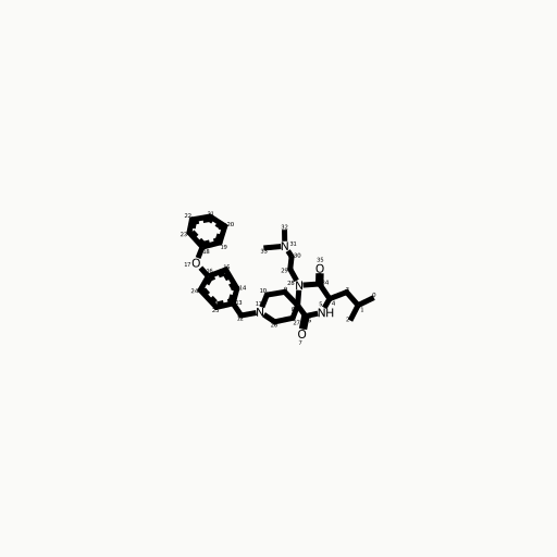 CC(C)CC1NC(=O)C2(CCN(Cc3ccc(Oc4ccccc4)cc3)CC2)N(CCN(C)C)C1=O